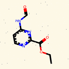 CCOC(=O)c1nccc(NC=O)n1